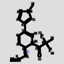 CN/N=c1\ccc(-c2cnn(C)c2)nn1C(=O)C(C)(F)F